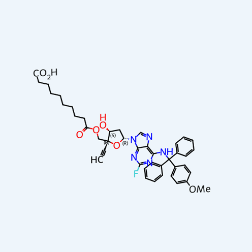 C#C[C@]1(COC(=O)CCCCCCCCC(=O)O)O[C@@H](n2cnc3c(NC(c4ccccc4)(c4ccccc4)c4ccc(OC)cc4)nc(F)nc32)C[C@@H]1O